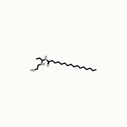 CCCCCCCCCCCCCCCC(=O)NC(CC)NCCO